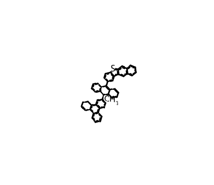 CC12C=CC=CC1=C(c1ccc3sc4cc5ccccc5cc4c3c1)c1ccccc1C2c1ccc2c(c1)c1c(c3ccccc32)C=CCC1